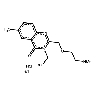 CNCCOCc1nc2ccc(C(F)(F)F)cc2c(=O)n1CC(C)(C)C.Cl.Cl